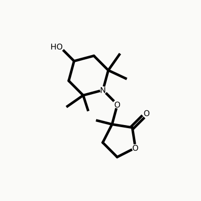 CC1(ON2C(C)(C)CC(O)CC2(C)C)CCOC1=O